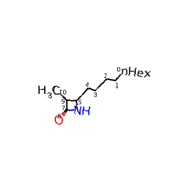 CCCCCCCCCCC1NC(=O)C1C